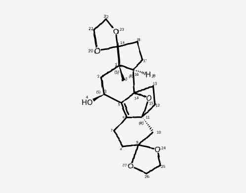 C[C@]12C[C@H](O)C3=C4CCC5(C[C@]46CCC3(O6)[C@@H]1CCC21OCCO1)OCCO5